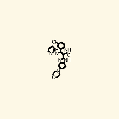 O=c1[nH]c2ccc(Cl)cc2c(Nc2ccccn2)c1-c1nc2cc(N3CCOCC3)ccc2[nH]1